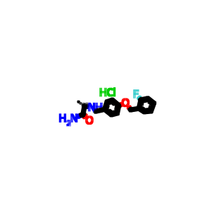 C[C@H](NCc1ccc(OCc2ccccc2F)cc1)C(N)=O.Cl